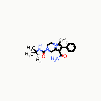 Cc1c(-c2ccccc2)c(C(N)=O)c2n1CCN(C(=O)NC(C)(C)C)C2